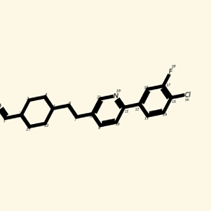 O=CC1CCC(CCc2ccc(-c3ccc(Cl)c(F)c3)nc2)CC1